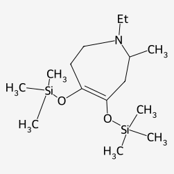 CCN1CCC(O[Si](C)(C)C)=C(O[Si](C)(C)C)CC1C